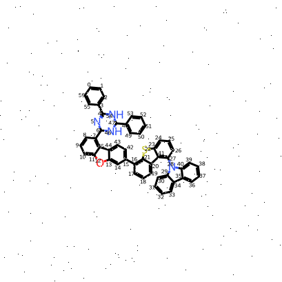 c1ccc(C2=NC(c3cccc4oc5cc(-c6cccc7c6sc6cccc(-n8c9ccccc9c9ccccc98)c67)ccc5c34)NC(c3ccccc3)N2)cc1